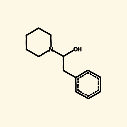 OC(Cc1ccccc1)N1CCCCC1